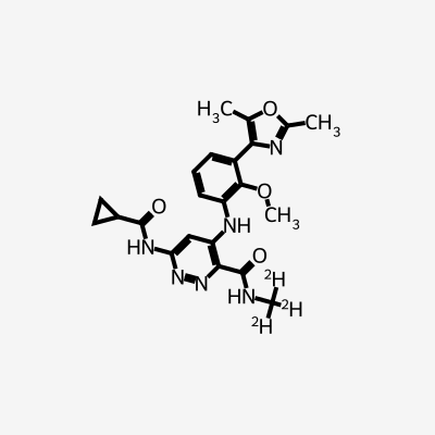 [2H]C([2H])([2H])NC(=O)c1nnc(NC(=O)C2CC2)cc1Nc1cccc(-c2nc(C)oc2C)c1OC